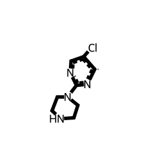 Clc1[c]nc(N2CCNCC2)nc1